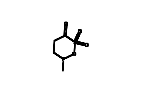 CP1CCC(=O)S(=O)(=O)O1